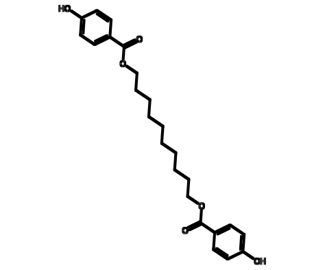 O=C(OCCCCCCCCCCOC(=O)c1ccc(O)cc1)c1ccc(O)cc1